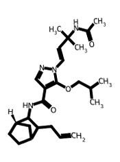 C=CCC1C2CC[C@@H](C2)C1NC(=O)c1cnn(/C=C/C(C)(C)NC(C)=O)c1OCC(C)C